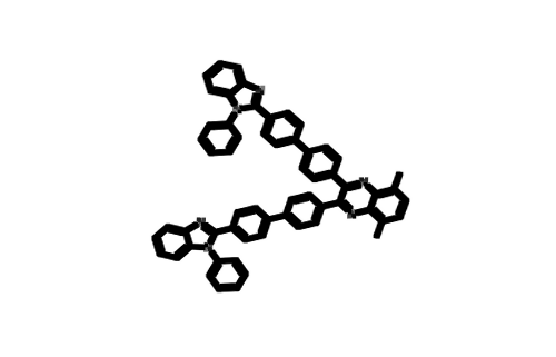 Cc1ccc(C)c2nc(-c3ccc(-c4ccc(-c5nc6ccccc6n5-c5ccccc5)cc4)cc3)c(-c3ccc(-c4ccc(-c5nc6ccccc6n5-c5ccccc5)cc4)cc3)nc12